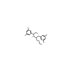 CCCCC([CH]C(CC)c1cc(C)cc(C)c1)Cc1cc(C)cc(C)c1